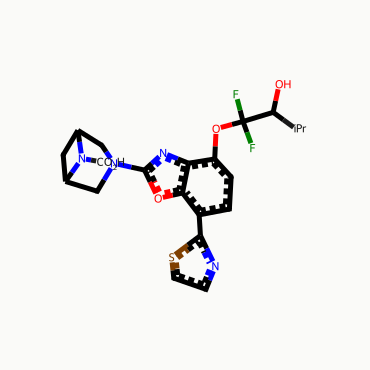 CC(C)C(O)C(F)(F)Oc1ccc(-c2nccs2)c2oc(N3CC4CC(C3)N4C(=O)O)nc12